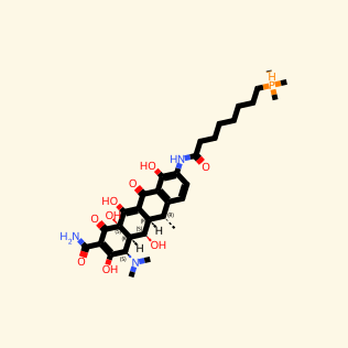 C[C@H]1c2ccc(NC(=O)CCCCCCC[PH](C)(C)C)c(O)c2C(=O)C2=C(O)[C@]3(O)C(=O)C(C(N)=O)=C(O)[C@@H](N(C)C)[C@@H]3[C@@H](O)[C@@H]21